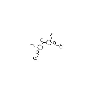 C=CCc1cc(C(=O)c2ccc(OCC3CO3)c(CC=C)c2)ccc1OCC1CO1